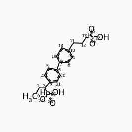 CCC(c1ccc(-c2ccc(CCCS(=O)(=O)O)cc2)cc1)P(=O)(O)O